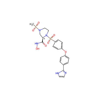 CS(=O)(=O)N1CCN(S(=O)(=O)c2ccc(Oc3ccc(-c4ncc[nH]4)cc3)cc2)[C@@H](C(=O)NO)C1